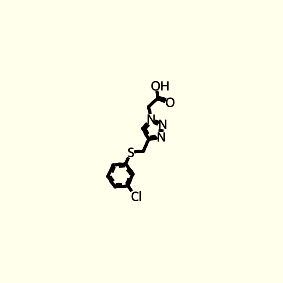 O=C(O)Cn1cc(CSc2cccc(Cl)c2)nn1